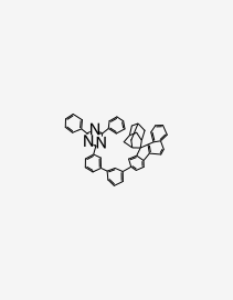 c1ccc(-c2nc(-c3ccccc3)nc(-c3cccc(-c4cccc(-c5ccc6c(c5)C5(c7c-6ccc6ccccc76)C6CC7CC(C6)CC5C7)c4)c3)n2)cc1